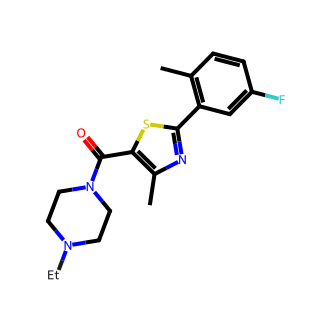 CCN1CCN(C(=O)c2sc(-c3cc(F)ccc3C)nc2C)CC1